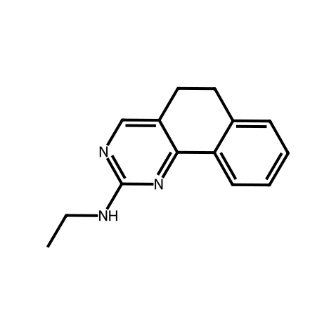 CCNc1ncc2c(n1)-c1ccccc1CC2